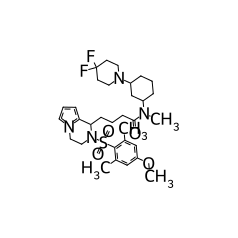 COc1cc(C)c(S(=O)(=O)N2CCn3cccc3C2CCCC(=O)N(C)C2CCCC(N3CCC(F)(F)CC3)C2)c(C)c1